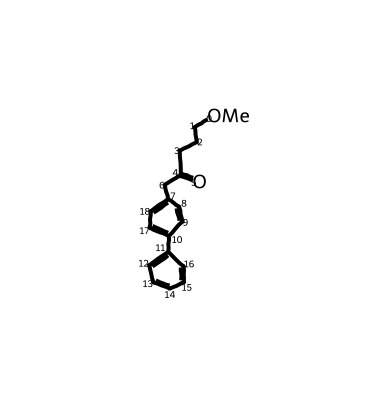 COCCCC(=O)Cc1ccc(-c2ccccc2)cc1